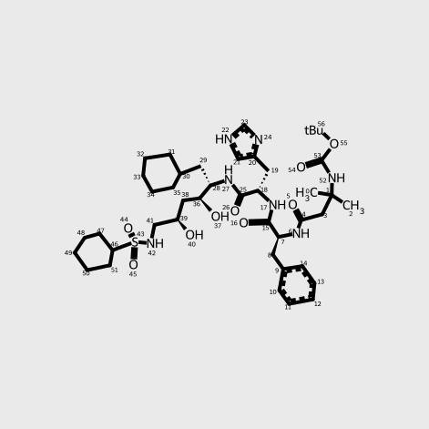 CC(C)(CC(=O)N[C@@H](Cc1ccccc1)C(=O)N[C@@H](Cc1c[nH]cn1)C(=O)N[C@@H](CC1CCCCC1)[C@@H](O)C[C@@H](O)CNS(=O)(=O)C1CCCCC1)NC(=O)OC(C)(C)C